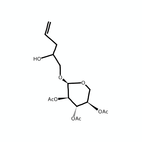 C=CCC(O)CO[C@H]1OC[C@@H](OC(C)=O)[C@H](OC(C)=O)[C@H]1OC(C)=O